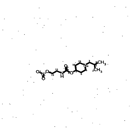 CC(C)CN1CCC(OC(=O)NCCO[N+](=O)[O-])CC1